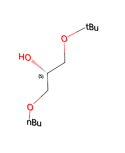 CCCCOC[C@H](O)COC(C)(C)C